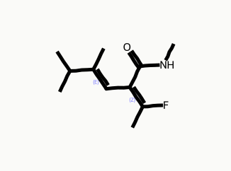 CNC(=O)C(/C=C(\C)C(C)C)=C(/C)F